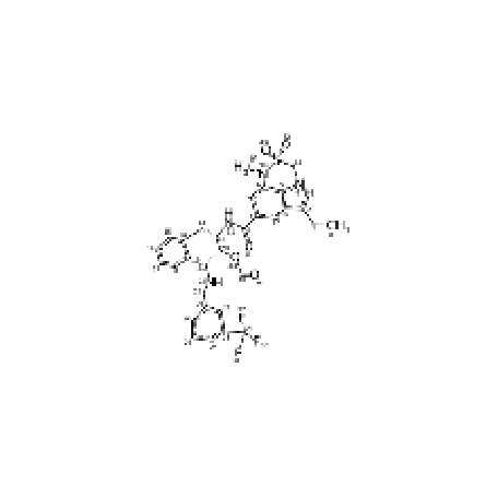 CCc1cn2c3c(cc(C(=O)N[C@@H](Cc4ccccc4)[C@@H](CNCc4cccc(C(F)(F)F)c4)OC=O)cc13)N(C)S(=O)(=O)C2